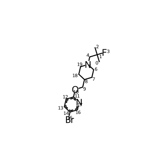 CC(C)(F)CN1CCC(COc2ccc(Br)cn2)CC1